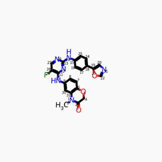 CN1C(=O)COc2ccc(Nc3nc(Nc4ccc(-c5cnco5)cc4)ncc3F)cc21